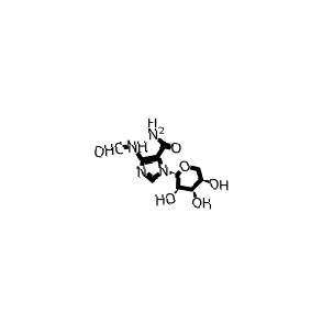 NC(=O)c1c(NC=O)ncn1[C@@H]1OC[C@@H](O)[C@@H](O)[C@@H]1O